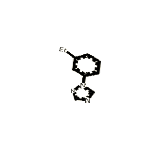 CCc1cccc(-n2cncn2)c1